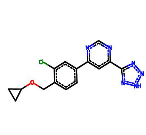 Clc1cc(-c2cc(-c3nn[nH]n3)ncn2)ccc1COC1CC1